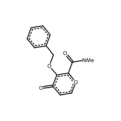 CNC(=O)c1occc(=O)c1OCc1ccccc1